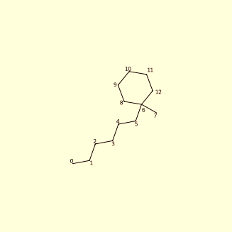 CCCCCCC1(C)CCCCC1